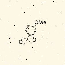 COc1ccc2c(c1)OCC21COC1